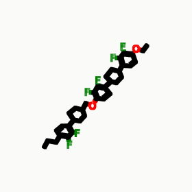 CCCc1ccc(C2CCC(COc3ccc(C4CCC(c5ccc(OCC)c(F)c5F)CC4)c(F)c3F)CC2)c(F)c1F